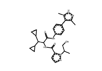 Cc1n[nH]c(C)c1-c1ccc(NC(=O)C(NC(=O)c2ccnn2C(C)CO)C(C2CC2)C2CC2)cc1